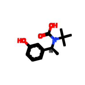 C[C@@H](c1cccc(O)c1)N(C(=O)O)C(C)(C)C